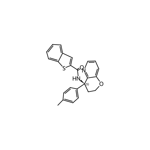 Cc1ccc([C@@]2(NC(=O)c3cc4ccccc4s3)CCOc3cccnc32)cc1